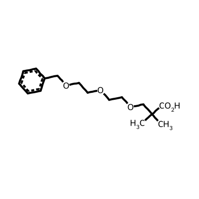 CC(C)(COCCOCCOCc1ccccc1)C(=O)O